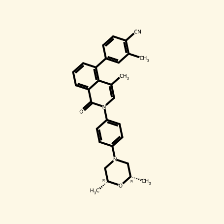 Cc1cc(-c2cccc3c(=O)n(-c4ccc(N5C[C@@H](C)O[C@@H](C)C5)cc4)cc(C)c23)ccc1C#N